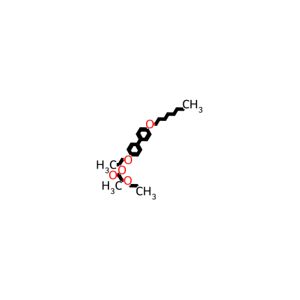 CCCCCCCCOc1ccc(-c2ccc(OCC(C)OC(=O)C(C)OCCC)cc2)cc1